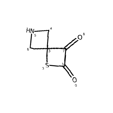 O=C1SC2(CNC2)C1=O